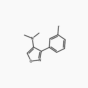 [CH2]c1cccc(-c2nocc2N(C)C)c1